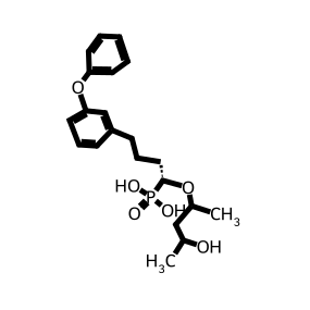 CC(O)CC(C)O[C@@H](CCCc1cccc(Oc2ccccc2)c1)P(=O)(O)O